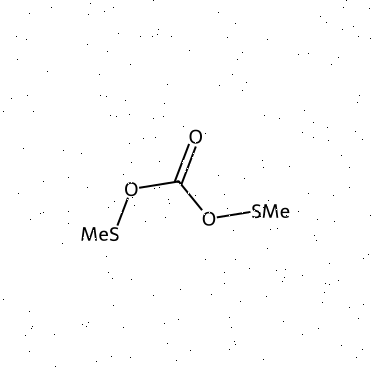 CSOC(=O)OSC